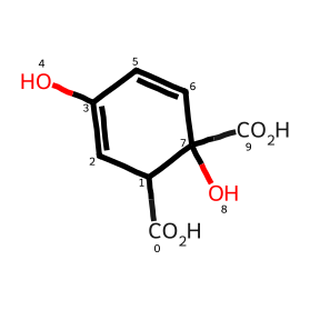 O=C(O)C1C=C(O)C=CC1(O)C(=O)O